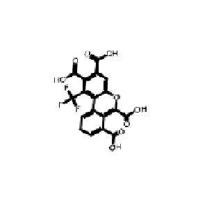 O=C(O)C1=CCC=C2C1=C(C(=O)O)Oc1cc(C(=O)O)c(C(=O)O)c(C(F)(F)F)c12